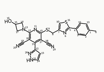 Cc1ccc(-c2nc(CSc3nc(N4CC(O)C4)c(C#N)c(-c4cc[nH]n4)c3C#N)cs2)cc1